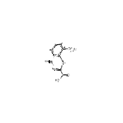 CC(O)C(=O)Oc1ccccc1C(=O)O.N